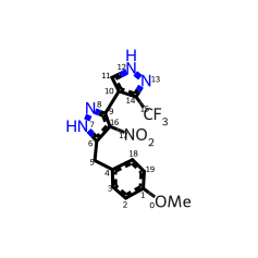 COc1ccc(Cc2[nH]nc(-c3c[nH]nc3C(F)(F)F)c2[N+](=O)[O-])cc1